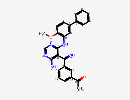 COc1ccc(-c2ccccc2)cc1Nc1ncnc(N)c1C(=N)c1cccc(C(C)=O)c1